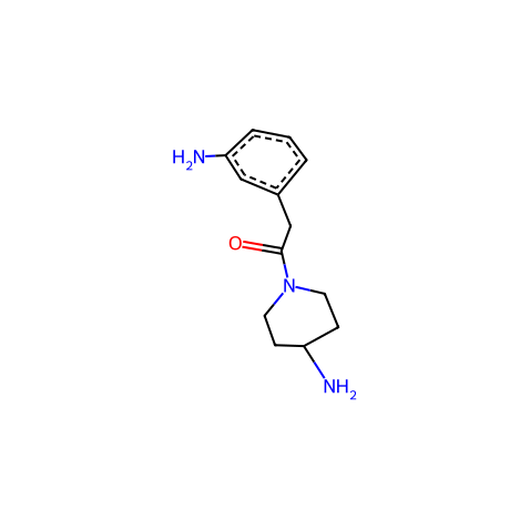 Nc1cccc(CC(=O)N2CCC(N)CC2)c1